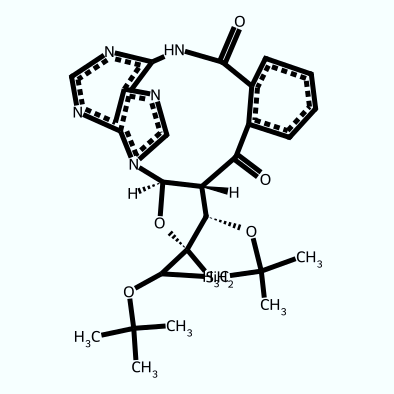 CC(C)(C)OC1[SiH2][C@@]12O[C@@H]1[C@H](C(=O)c3ccccc3C(=O)Nc3ncnc4c3ncn41)[C@@H]2OC(C)(C)C